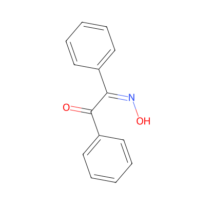 O=C(C(=NO)c1ccccc1)c1ccccc1